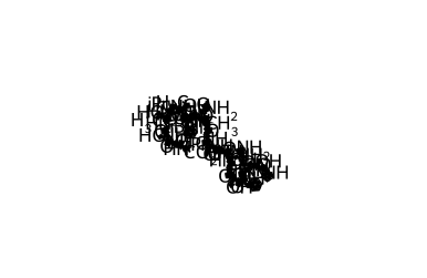 CC[C@H](C)[C@H](NC(=O)[C@@H](NC(=O)[C@H](CC(C)C)NC(=O)[C@@H](NC(=O)[C@H](Cc1ccccc1)NC(=O)[C@H](CCC(N)=O)NC(=O)[C@H](C)NC(=O)CNC(=O)[C@H](CO)NC(=O)CNC(=O)[C@H](CO)NC(=O)CNC(=O)[C@H](CO)NC(=O)[C@H](Cc1ccccc1)NC(=O)[C@H](CCCNC(=N)N)NC(=O)[C@H](CO)NC(=O)[C@@H]1CCCN1)[C@@H](C)O)[C@@H](C)O)C(=O)N[C@@H](CO)C(=O)NCC(=O)N[C@H](C(=O)O)C(C)C